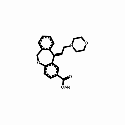 COC(=O)c1ccc2c(c1)/C(=C/CN1CCOCC1)c1ccccc1CO2